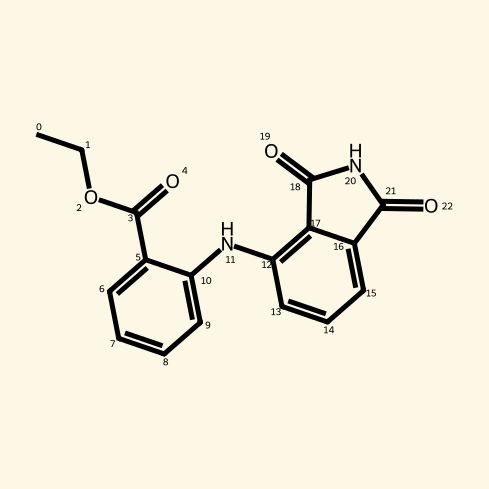 CCOC(=O)c1ccccc1Nc1cccc2c1C(=O)NC2=O